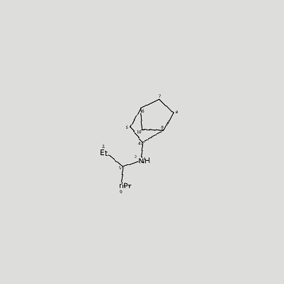 CCCC(CC)NC1CC2CCC1C2